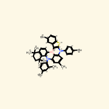 Cc1cc2c3c(c1)N(c1ccc(C(C)(C)C)cc1C)c1c(ccc4c1C(C)(C)CCC4(C)C)B3c1c(sc3ccc(C(C)(C)C)cc13)N2c1ccc(C(C)(C)C)cc1